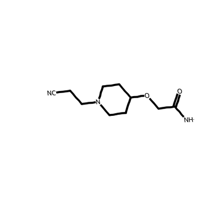 N#CCCN1CCC(OCC([NH])=O)CC1